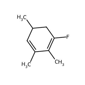 CC1=CC(C)CC(F)=C1C